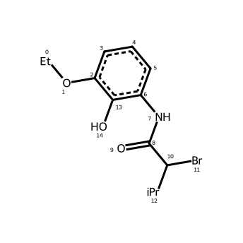 CCOc1cccc(NC(=O)C(Br)C(C)C)c1O